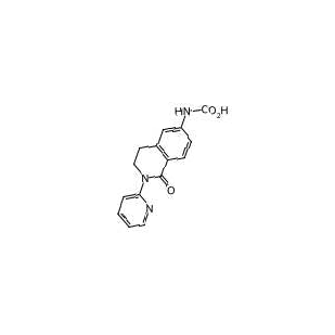 O=C(O)Nc1ccc2c(c1)CCN(c1ccccn1)C2=O